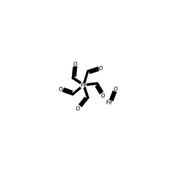 O=[CH][Fe]([CH]=O)([CH]=O)([CH]=O)[CH]=O.[O]=[Fe]